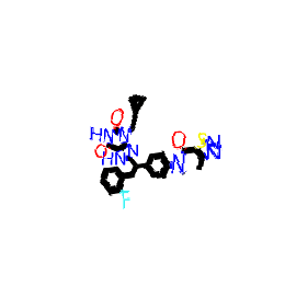 Cc1nnsc1C(=O)N(C)c1ccc(C(Cc2ccccc2F)c2nc3c([nH]2)c(=O)[nH]c(=O)n3CC2CC2)cc1